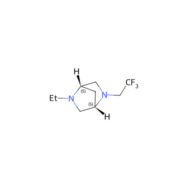 CCN1C[C@@H]2C[C@H]1CN2CC(F)(F)F